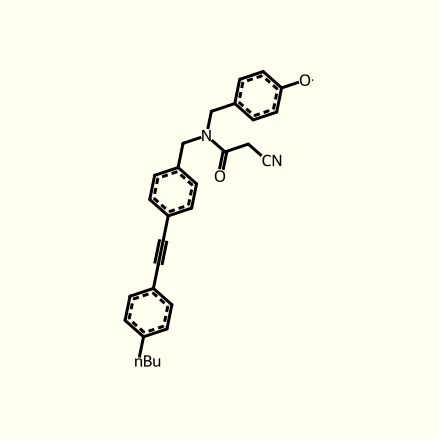 CCCCc1ccc(C#Cc2ccc(CN(Cc3ccc([O])cc3)C(=O)CC#N)cc2)cc1